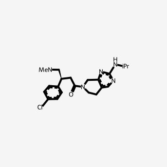 CNC[C@@H](CC(=O)N1CCc2cnc(NC(C)C)nc2C1)c1ccc(Cl)cc1